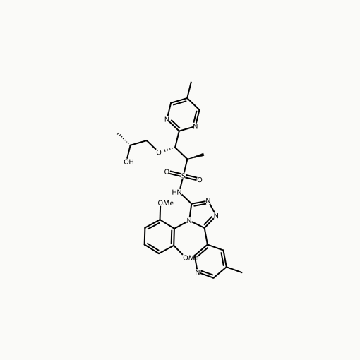 COc1cccc(OC)c1-n1c(NS(=O)(=O)[C@H](C)[C@H](OC[C@@H](C)O)c2ncc(C)cn2)nnc1-c1cncc(C)c1